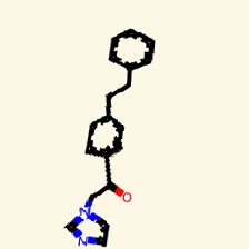 O=C(Cn1ccnc1)c1ccc(CCc2ccccc2)cc1